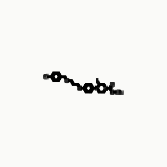 CC(C)(C)OC(=O)N1CCN(c2ccc(OCCCOCc3ccc(Cl)cc3)cc2)[C@@H](I)C1